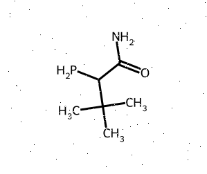 CC(C)(C)C(P)C(N)=O